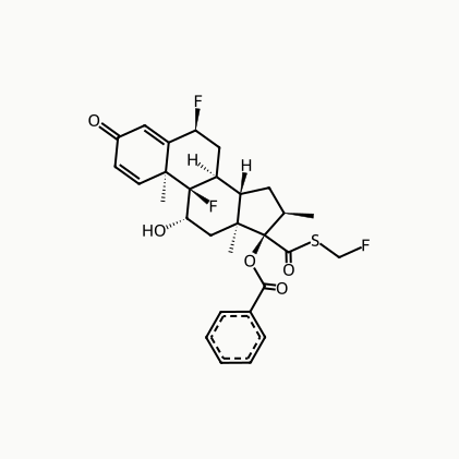 C[C@@H]1C[C@H]2[C@@H]3C[C@H](F)C4=CC(=O)C=C[C@]4(C)[C@@]3(F)[C@@H](O)C[C@]2(C)[C@@]1(OC(=O)c1ccccc1)C(=O)SCF